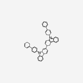 C1=CCCC(c2ccc(N3c4ccccc4C4C=CC(C5C=Cc6c(c7ccccc7n6C6C=CC(c7ccccc7)=CC6)C5)=CC43)cc2)=C1